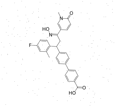 Cc1cc(F)ccc1C(C/C(=N/O)c1ccc(=O)n(C)c1)c1ccc(-c2ccc(C(=O)O)cc2)cc1